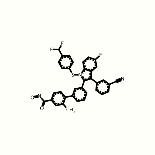 Cc1cc(C(=O)N=O)ccc1-c1cccc(-c2c(-c3cccc(C#N)c3)c3cc(F)ccc3n2Sc2ccc(C(F)F)cc2)c1